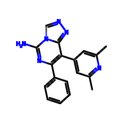 Cc1cc(-c2c(-c3ccccc3)nc(N)n3cnnc23)cc(C)n1